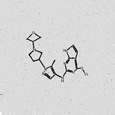 CCOc1nc(Nc2cnn(C3CCN(C4COC4)C3)c2C)nc2[nH]ccc12